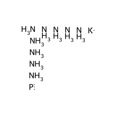 N.N.N.N.N.N.N.N.N.[K].[P]